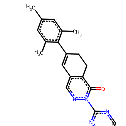 Cc1cc(C)c(C2=Cc3cnn(-c4ncccn4)c(=O)c3CC2)c(C)c1